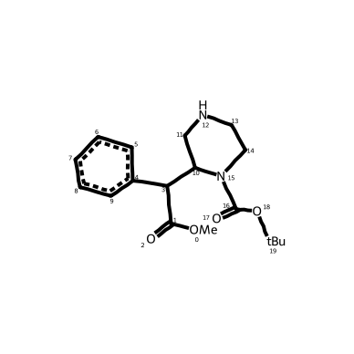 COC(=O)C(c1ccccc1)C1CNCCN1C(=O)OC(C)(C)C